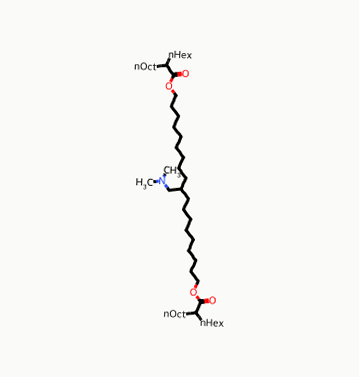 CCCCCCCCC(CCCCCC)C(=O)OCCCCCCCCCC(CCCCCCCCCOC(=O)C(CCCCCC)CCCCCCCC)CN(C)C